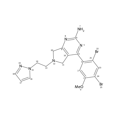 COc1cc(-c2nc(N)nc3c2CN(CCn2cccn2)C3)c(Br)cc1Br